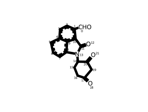 O=Cc1ccc2cccc3c2c1C(=O)N3C1CCC(=O)CC1=O